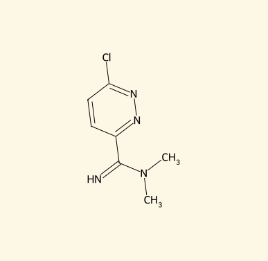 CN(C)C(=N)c1ccc(Cl)nn1